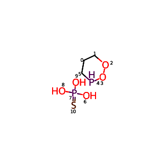 C1COOPC1.OP(O)(O)=S